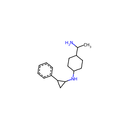 CC(N)C1CCC(NC2CC2c2ccccc2)CC1